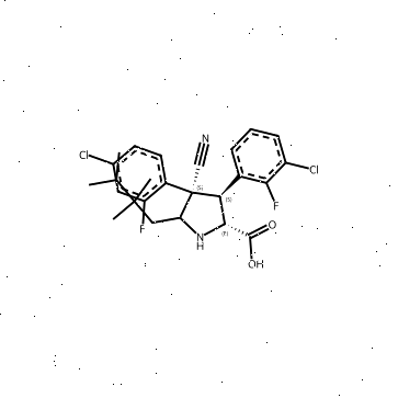 CC(C)C(C)(C)CC1N[C@@H](C(=O)O)[C@H](c2cccc(Cl)c2F)[C@]1(C#N)c1ccc(Cl)cc1F